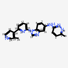 Cc1ccc(Nc2ccc3c(c2)ncn3-c2cc[c]c(-c3ccncc3C)n2)nn1